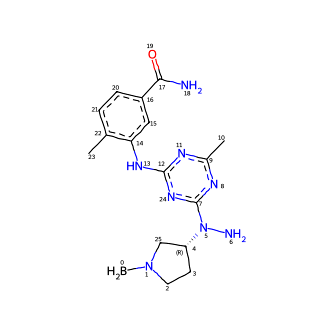 BN1CC[C@@H](N(N)c2nc(C)nc(Nc3cc(C(N)=O)ccc3C)n2)C1